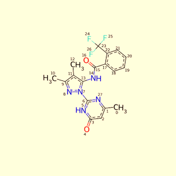 Cc1cc(=O)[nH]c(-n2nc(C)c(C)c2NC(=O)c2ccccc2C(F)(F)F)n1